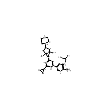 Nc1ncc(-c2cc([C@H]3[C@@H]4CC(N5CCOCC5)C[C@@H]43)nc(C3CC3)n2)cc1OC(F)F